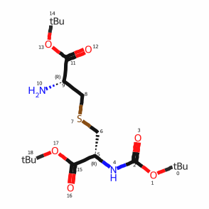 CC(C)(C)OC(=O)N[C@@H](CSC[C@H](N)C(=O)OC(C)(C)C)C(=O)OC(C)(C)C